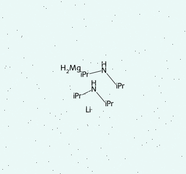 CC(C)NC(C)C.CC(C)NC(C)C.[Li].[MgH2]